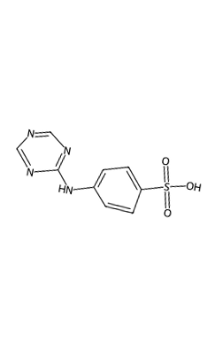 O=S(=O)(O)c1ccc(Nc2ncncn2)cc1